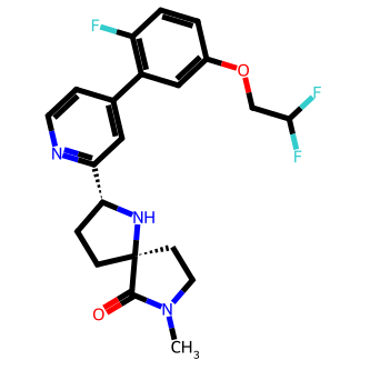 CN1CC[C@@]2(CC[C@H](c3cc(-c4cc(OCC(F)F)ccc4F)ccn3)N2)C1=O